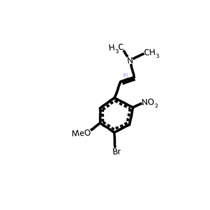 COc1cc(/C=C/N(C)C)c([N+](=O)[O-])cc1Br